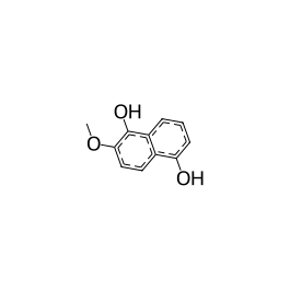 COc1ccc2c(O)cccc2c1O